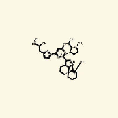 CO[C@H]1CCN(C)[C@@H]1[C@H](C)Oc1cc(-n2ccc(CC(O)NC(C)C)n2)nc(-c2noc3c2CCC[C@@]32CCCc3sc(N)c(C#N)c32)n1